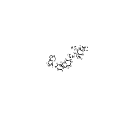 Cc1cnn(Cc2ccc3c(c2)c2oc3c3ccc(C(=O)NCc4c(C)cc5c(c4C)CNC5)cc32)c1